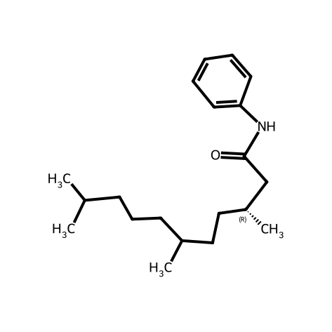 CC(C)CCCC(C)CC[C@@H](C)CC(=O)Nc1ccccc1